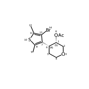 CC(=O)O[C@@H]1COCC[C@@H]1c1c(C)sc(C)c1Br